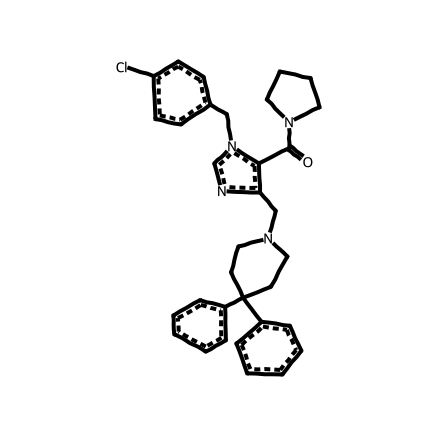 O=C(c1c(CN2CCC(c3ccccc3)(c3ccccc3)CC2)ncn1Cc1ccc(Cl)cc1)N1CCCC1